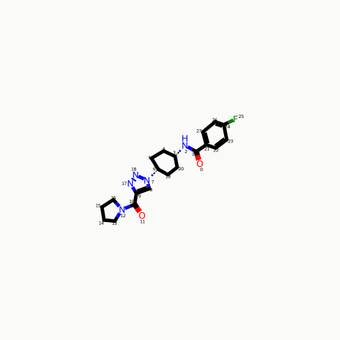 O=C(N[C@H]1CC[C@@H](n2cc(C(=O)N3CCCC3)nn2)CC1)c1ccc(F)cc1